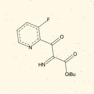 CC(C)COC(=O)C(=N)C(=O)c1ncccc1F